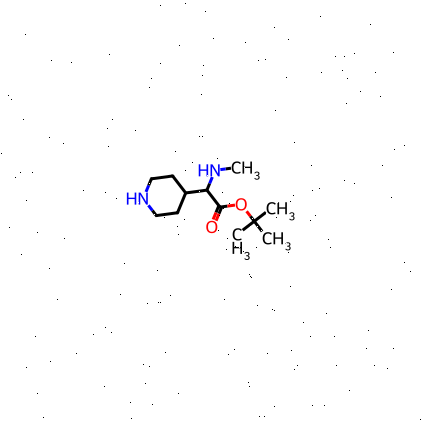 CNC(C(=O)OC(C)(C)C)C1CCNCC1